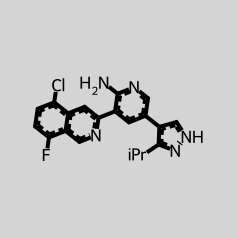 CC(C)c1n[nH]cc1-c1cnc(N)c(-c2cc3c(Cl)ccc(F)c3cn2)c1